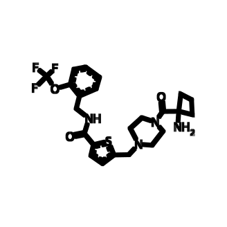 NC1(C(=O)N2CCN(Cc3ccc(C(=O)NCc4ccccc4OC(F)(F)F)s3)CC2)CCC1